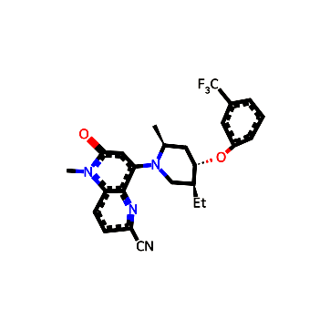 CC[C@H]1CN(c2cc(=O)n(C)c3ccc(C#N)nc23)[C@@H](C)C[C@@H]1Oc1cccc(C(F)(F)F)c1